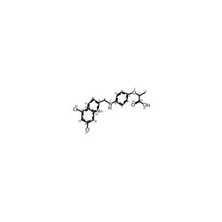 CC(Oc1ccc(NCc2ccc3c(Cl)cc(Cl)cc3n2)cc1)C(=O)O